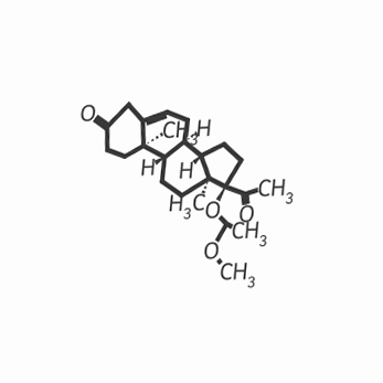 COC(C)O[C@]1(C(C)=O)CC[C@H]2[C@@H]3CC=C4CC(=O)CC[C@]4(C)[C@H]3CC[C@@]21C